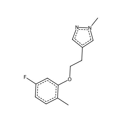 Cc1ccc(F)cc1OCCc1cnn(C)c1